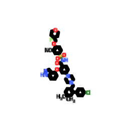 CC1(C)CCC(CN2CCN(c3ccc(C(=O)NS(=O)(=O)c4ccc(OCC5(F)CCOCC5)c(C#N)c4)c(Oc4cccc5[nH]ncc45)c3)CC2)=C(c2ccc(Cl)cc2)C1